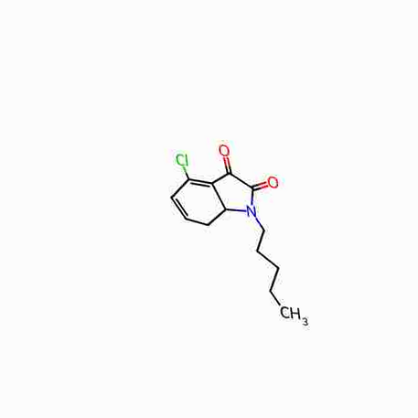 CCCCCN1C(=O)C(=O)C2=C(Cl)C=CCC21